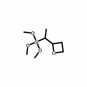 CO[Si](OC)(OC)C(C)C1CCO1